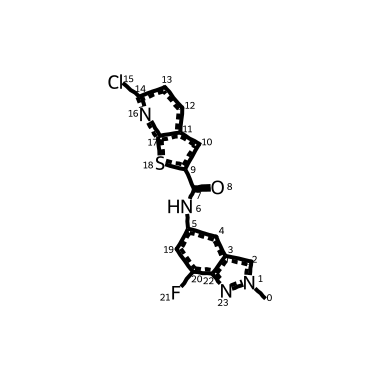 Cn1cc2cc(NC(=O)c3cc4ccc(Cl)nc4s3)cc(F)c2n1